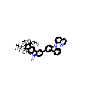 CC1(C)c2cc3[nH]c4ccc(-c5ccc6c(c5)c5ccccc5n6-c5cccc6cccnc56)cc4c3cc2C(C)(C)C1(C)C